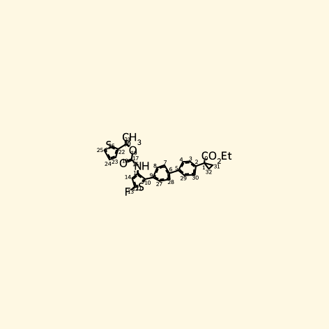 CCOC(=O)C1(c2ccc(-c3ccc(-c4sc(F)cc4NC(=O)O[C@H](C)c4cccs4)cc3)cc2)CC1